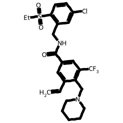 C=Cc1cc(C(=O)NCc2cc(Cl)ccc2S(=O)(=O)CC)cc(C(F)(F)F)c1CN1CCCCC1